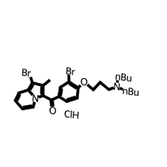 CCCCN(CCCC)CCCOc1ccc(C(=O)c2c(C)c(Br)c3ccccn23)cc1Br.Cl